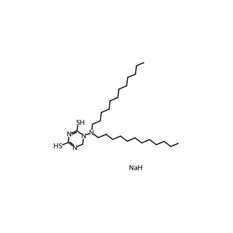 CCCCCCCCCCCCN(CCCCCCCCCCCC)N1CN=C(S)N=C1S.[NaH]